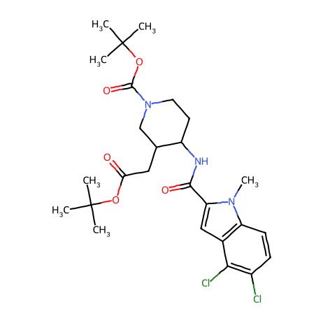 Cn1c(C(=O)NC2CCN(C(=O)OC(C)(C)C)CC2CC(=O)OC(C)(C)C)cc2c(Cl)c(Cl)ccc21